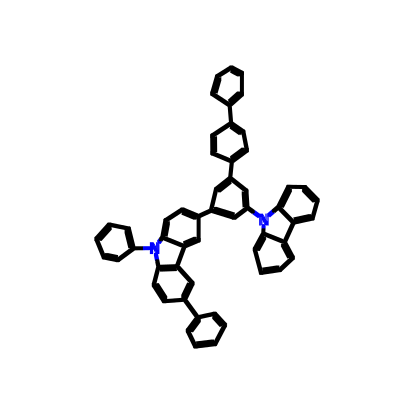 c1ccc(-c2ccc(-c3cc(-c4ccc5c(c4)c4cc(-c6ccccc6)ccc4n5-c4ccccc4)cc(-n4c5ccccc5c5ccccc54)c3)cc2)cc1